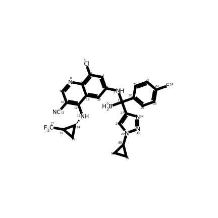 BC(Nc1cc(Cl)c2ncc(C#N)c(N[C@@H]3CC3C(F)(F)F)c2c1)(c1ccc(F)cc1)c1cn(C2CC2)nn1